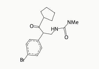 CNC(=O)NCC(C(=O)C1CCCC1)c1ccc(Br)cc1